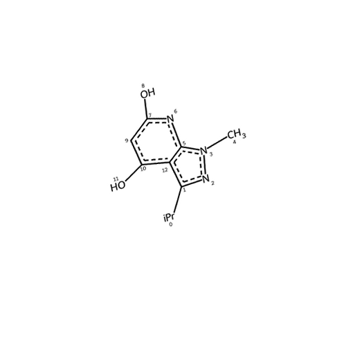 CC(C)c1nn(C)c2nc(O)cc(O)c12